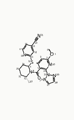 COc1ccc(C(=O)N2C(Sc3cc(C#N)ccn3)CCC[C@H]2C)c(-n2nccn2)n1